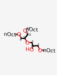 CCCCCCCCOCC(O)COC(COCCCCCCCC)COCCCCCCCC